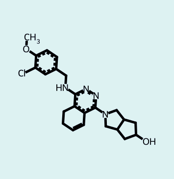 COc1ccc(CNc2nnc(N3CC4CC(O)CC4C3)c3c2CCC=C3)cc1Cl